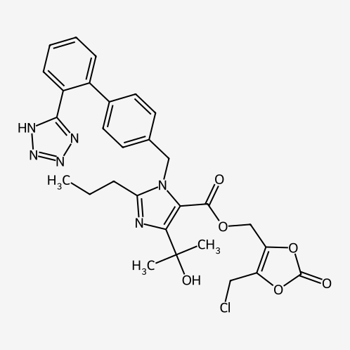 CCCc1nc(C(C)(C)O)c(C(=O)OCc2oc(=O)oc2CCl)n1Cc1ccc(-c2ccccc2-c2nnn[nH]2)cc1